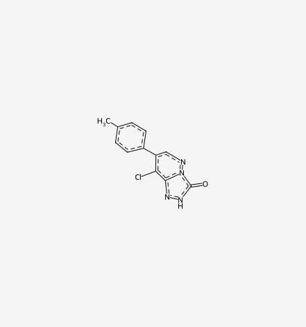 Cc1ccc(-c2cnn3c(=O)[nH]nc3c2Cl)cc1